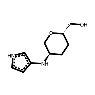 OC[C@@H]1CC[C@@H](Nc2cc[nH]c2)CO1